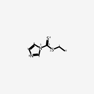 CCSC(=S)n1ccnc1